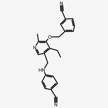 CCc1c(CNc2ccc(C#N)cc2)cnc(C)c1OCc1cccc(C#N)c1